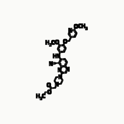 CCOC(=O)CN1CCN(c2cnc3ccc(Nc4ccc(OCc5ccc(OC)nc5)c(OC)c4)c(C#N)c3n2)CC1